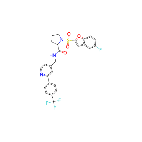 O=C(NCc1ccnc(-c2ccc(C(F)(F)F)cc2)c1)C1CCCN1S(=O)(=O)c1cc2cc(F)ccc2o1